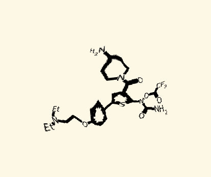 CCN(CC)CCOc1ccc(-c2cc(C(=O)N3CCC(N)CC3)c(N(OC(=O)C(F)(F)F)C(N)=O)s2)cc1